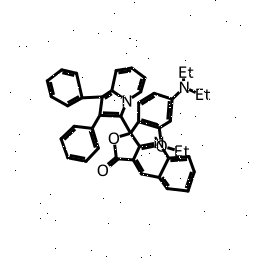 CCOc1cc(N(CC)CC)ccc1C1(c2c(-c3ccccc3)c(-c3ccccc3)c3ccccn23)OC(=O)c2cc3ccccc3nc21